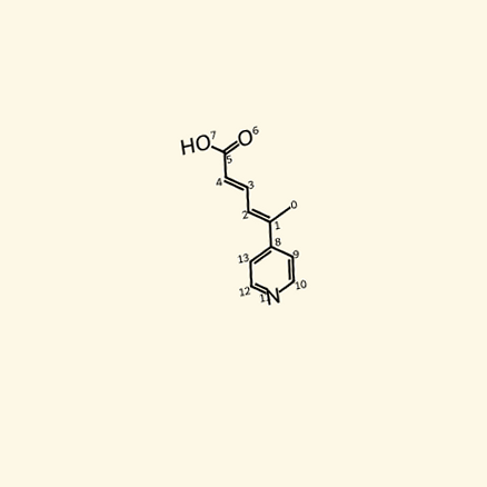 CC(=CC=CC(=O)O)c1ccncc1